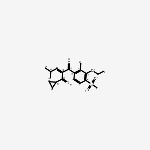 CCOc1c(S(C)(=O)=O)ccc(C(=O)C(=CC(C)C)C(=O)C2CC2)c1C